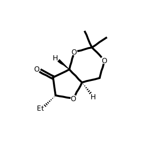 CC[C@H]1O[C@@H]2COC(C)(C)O[C@H]2C1=O